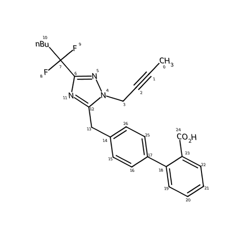 CC#CCn1nc(C(F)(F)CCCC)nc1Cc1ccc(-c2ccccc2C(=O)O)cc1